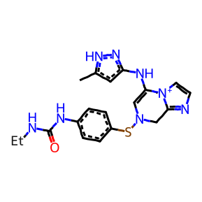 CCNC(=O)Nc1ccc(SN2C=C(Nc3cc(C)[nH]n3)[N+]3C=CN=C3C2)cc1